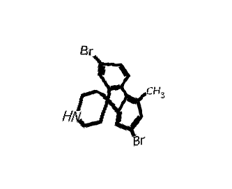 Cc1cc(Br)cc2c1-c1ccc(Br)cc1C21CCNCC1